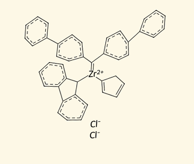 C1=CC[C]([Zr+2](=[C](c2ccc(-c3ccccc3)cc2)c2ccc(-c3ccccc3)cc2)[CH]2c3ccccc3-c3ccccc32)=C1.[Cl-].[Cl-]